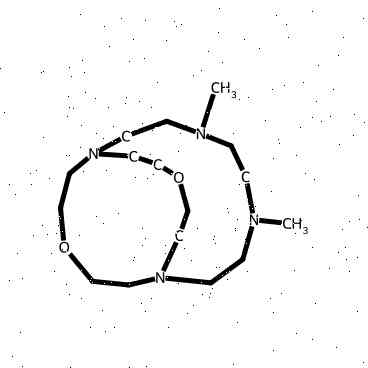 CN1CCN(C)CCN2CCOCCN(CCOCC2)CC1